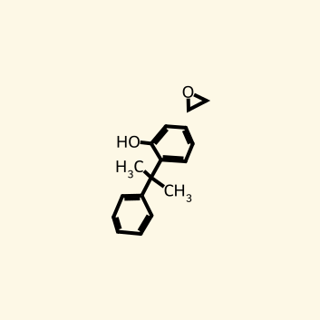 C1CO1.CC(C)(c1ccccc1)c1ccccc1O